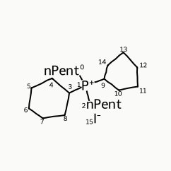 CCCCC[P+](CCCCC)(C1CCCCC1)C1CCCCC1.[I-]